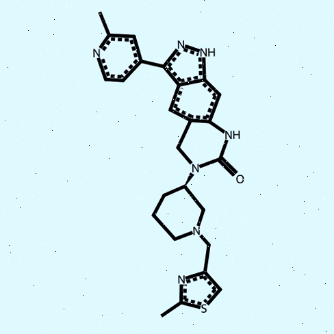 Cc1cc(-c2n[nH]c3cc4c(cc23)CN([C@@H]2CCCN(Cc3csc(C)n3)C2)C(=O)N4)ccn1